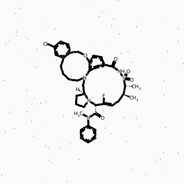 C[C@@H]1[C@@H](C)C/C=C(\F)[C@H](C(=O)N(C)c2ccccc2)N2CCC[C@H]2CN2CCCCc3cc(Cl)ccc3COc3ccc(cc32)C(=O)NS1(=O)=O